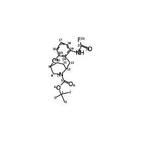 CC(C)(C)OC(=O)N1CC2CCC1Cc1c(cccc1NC(=O)F)C2